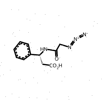 [N-]=[N+]=NCC(=O)N[C@H](CC(=O)O)c1ccccc1